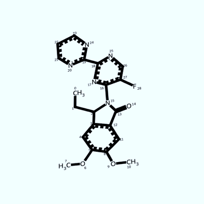 CCC1c2cc(OC)c(OC)cc2C(=O)N1c1nc(-c2ncccn2)ncc1F